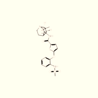 C[C@H]1[C@H](NC(=O)c2ccc(Oc3ccccc3NS(C)(=O)=O)s2)C2CCN1CC2